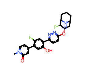 Cn1ccc(-c2cc(O)c(-c3ccc(O[C@@H]4CC5CCCC(N5)[C@@H]4F)nn3)cc2F)cc1=O